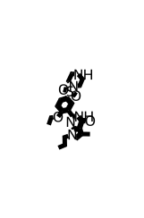 CCCn1cc(C)c2c(=O)[nH]c(-c3cc(S(=O)(=O)N4CCNCC4)ccc3OCC)nc21